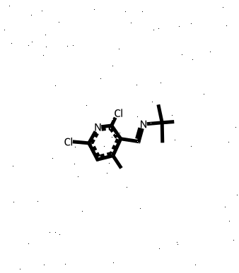 Cc1cc(Cl)nc(Cl)c1/C=N/C(C)(C)C